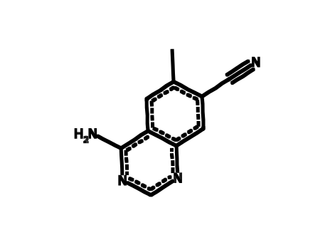 Cc1cc2c(N)ncnc2cc1C#N